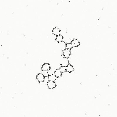 c1ccc(C2(c3ccccc3)c3ccccc3-c3cc4c(cc32)oc2c(-c3ccc5c(c3)c3ccccc3n5-c3ccc5ccccc5c3)cccc24)cc1